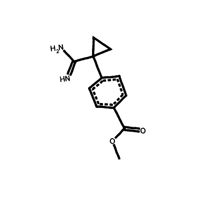 COC(=O)c1ccc(C2(C(=N)N)CC2)cc1